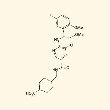 COC[C@H](Nc1ncc(C(=O)NCC2CCC(C(=O)O)CC2)cc1Cl)c1cc(F)ccc1OC